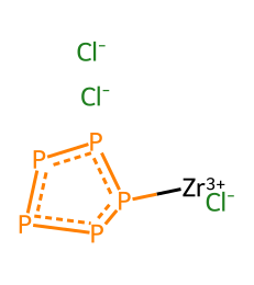 [Cl-].[Cl-].[Cl-].[Zr+3][p]1pppp1